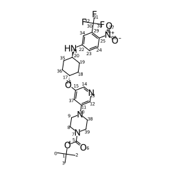 CC(C)(C)OC(=O)N1CCN(c2cncc(O[C@H]3CC[C@H](Nc4ccc([N+](=O)[O-])c(C(F)(F)F)c4)CC3)c2)CC1